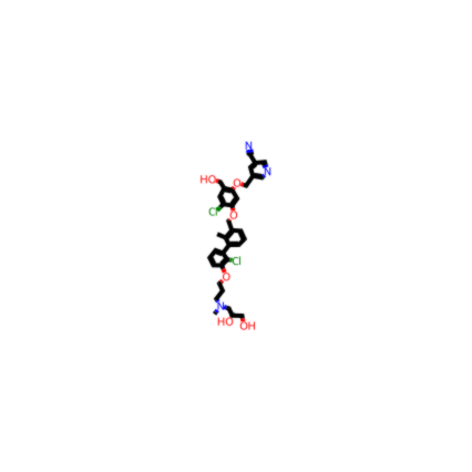 Cc1c(COc2cc(OCc3cncc(C#N)c3)c(CO)cc2Cl)cccc1-c1cccc(OCCCN(C)C[C@H](O)CO)c1Cl